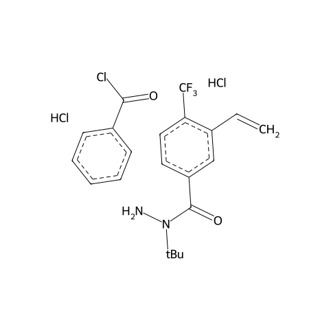 C=Cc1cc(C(=O)N(N)C(C)(C)C)ccc1C(F)(F)F.Cl.Cl.O=C(Cl)c1ccccc1